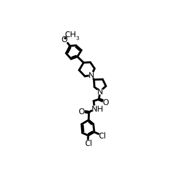 COc1ccc(C2CCN(C3CCN(C(=O)CNC(=O)c4ccc(Cl)c(Cl)c4)C3)CC2)cc1